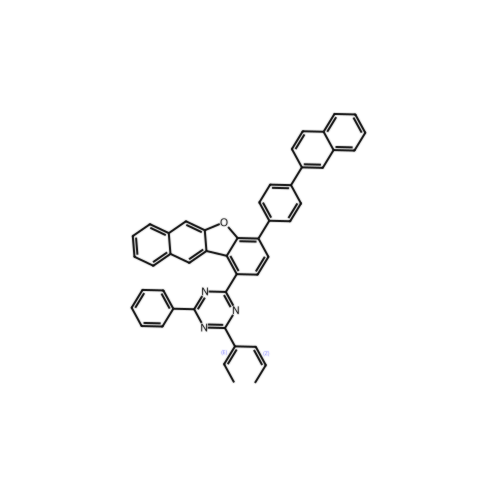 C/C=C\C(=C/C)c1nc(-c2ccccc2)nc(-c2ccc(-c3ccc(-c4ccc5ccccc5c4)cc3)c3oc4cc5ccccc5cc4c23)n1